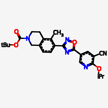 Cc1c(-c2noc(-c3cnc(OC(C)C)c(C#N)c3)n2)ccc2c1CCN(C(=O)OC(C)(C)C)C2